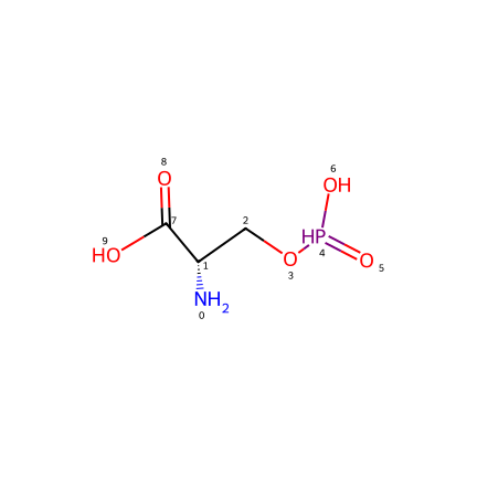 N[C@@H](CO[PH](=O)O)C(=O)O